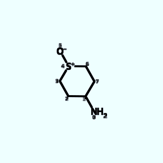 N[C]1CC[S+]([O-])CC1